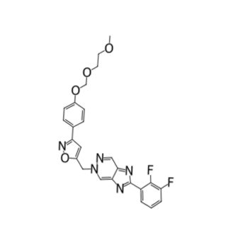 COCCOCOc1ccc(-c2cc(Cn3cc4nc(-c5cccc(F)c5F)nc-4cn3)on2)cc1